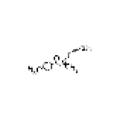 Cc1ccc(C(=O)CN(C)CC=CC#CC(C)(C)C)cc1